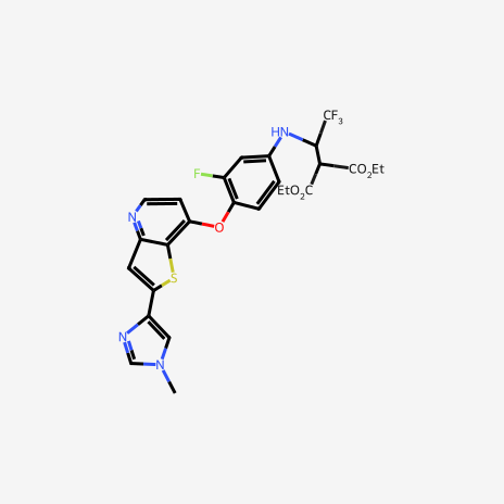 CCOC(=O)C(C(=O)OCC)C(Nc1ccc(Oc2ccnc3cc(-c4cn(C)cn4)sc23)c(F)c1)C(F)(F)F